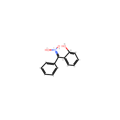 [O-][N+](O)=C(c1ccccc1)c1ccccc1O